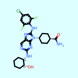 NC(=O)[C@H]1CC[C@H](n2c(Nc3c(F)cc(Cl)cc3F)nc3cnc(N[C@H]4CCCC[C@H]4O)nc32)CC1